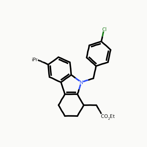 CCOC(=O)CC1CCCc2c1n(Cc1ccc(Cl)cc1)c1ccc(C(C)C)cc21